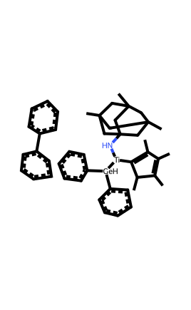 CC1=C(C)C(C)[C]([Ti]([NH]C23CC4(C)CC(C)(CC(C)(C4)C2)C3)[GeH]([c]2ccccc2)[c]2ccccc2)=C1C.c1ccc(-c2ccccc2)cc1